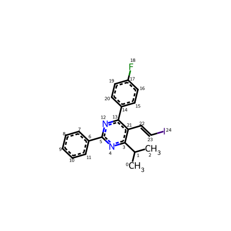 CC(C)c1nc(-c2ccccc2)nc(-c2ccc(F)cc2)c1/C=C/I